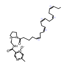 CC/C=C\C/C=C\C/C=C\C/C=C\C/C=C\CCCC(=O)N1CCC[C@@H]1CNC(=O)c1cnc(C)c[n+]1[O-]